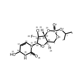 CC(C)OP1(=O)OC[C@H]2O[C@@H](N3C=CC(O)NC3=O)[C@@](F)(Cl)[C@@H]2O1